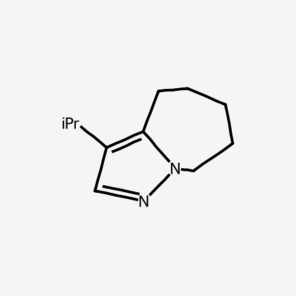 CC(C)c1cnn2c1CCCCC2